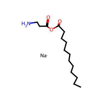 CCCCCCCCCCCC(=O)OC(=O)CCN.[Na]